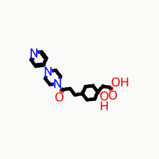 O=C(O)CC1(O)CCC(CCC(=O)N2CCN(c3ccncc3)CC2)CC1